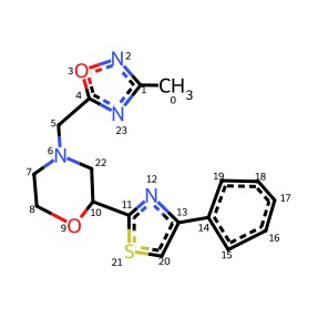 Cc1noc(CN2CCOC(c3nc(-c4ccccc4)cs3)C2)n1